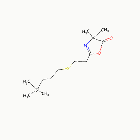 CC1(C)N=C(CCSCCC[Si](C)(C)C)OC1=O